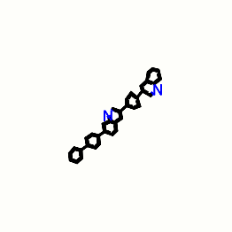 c1ccc(-c2ccc(-c3ccc4cc(-c5ccc(-c6cnc7ccccc7c6)cc5)cnc4c3)cc2)cc1